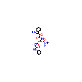 C[C@H](NC(=O)C[C@H](CC(=O)NC(C)(C)C)NC(=O)C(=O)c1c[nH]c2ccccc12)C(=O)Nc1ccccc1